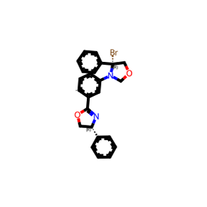 Br[C@]1(c2ccccc2)COCN1c1cc[c]c(C2=N[C@H](c3ccccc3)CO2)c1